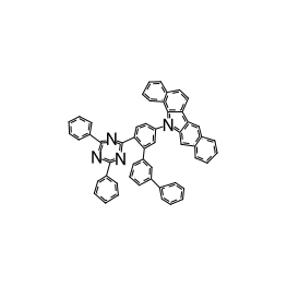 c1ccc(-c2cccc(-c3cc(-n4c5cc6ccccc6cc5c5ccc6ccccc6c54)ccc3-c3nc(-c4ccccc4)nc(-c4ccccc4)n3)c2)cc1